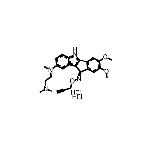 C#CCON=C1c2cc(OC)c(OC)cc2-c2[nH]c3ccc(N(C)CCN(C)C)cc3c21.Cl.Cl